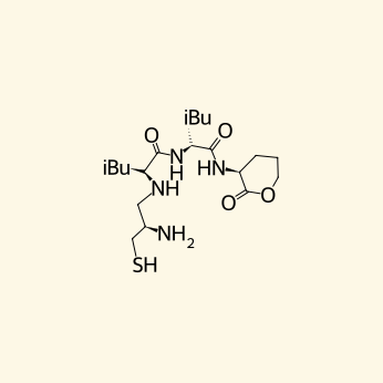 CC[C@H](C)[C@H](NC[C@@H](N)CS)C(=O)N[C@H](C(=O)N[C@H]1CCCOC1=O)[C@@H](C)CC